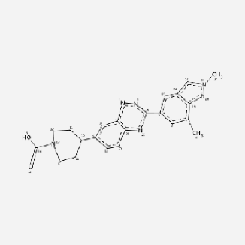 Cc1cc(-c2nnc3cc(C4CCN(C(=O)O)CC4)ccc3n2)cc2cn(C)nc12